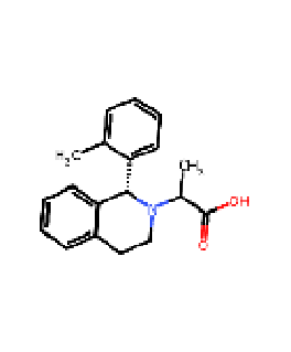 Cc1ccccc1[C@H]1c2ccccc2CCN1C(C)C(=O)O